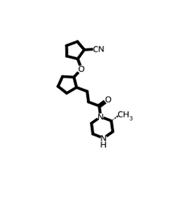 C[C@@H]1CNCCN1C(=O)CCC1CCCC1OC1CCCC1C#N